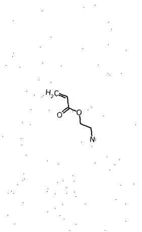 C=CC(=O)OCC[N]